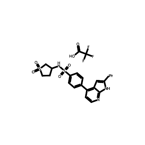 CC(C)c1cc2c(-c3ccc(S(=O)(=O)NC4CCS(=O)(=O)C4)cc3)ccnc2[nH]1.O=C(O)C(F)(F)F